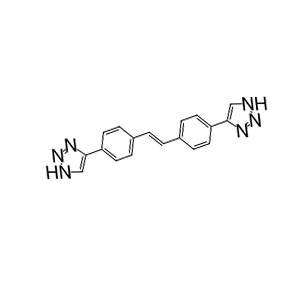 C(=Cc1ccc(-c2c[nH]nn2)cc1)c1ccc(-c2c[nH]nn2)cc1